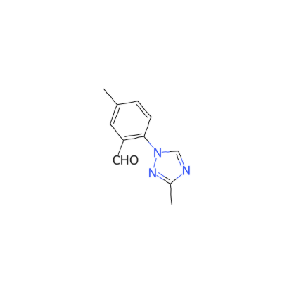 Cc1ccc(-n2cnc(C)n2)c(C=O)c1